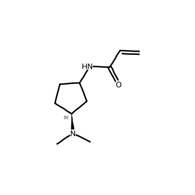 C=CC(=O)NC1CC[C@H](N(C)C)C1